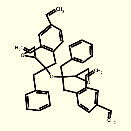 C=Cc1ccc(CC(Cc2ccccc2)(OC(Cc2ccccc2)(Cc2ccc(C=C)cc2C=C)C2CO2)C2CO2)c(C=C)c1